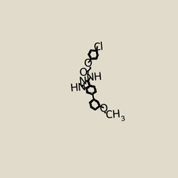 CCOc1cccc(-c2ccc3c(NC(=O)COc4ccc(Cl)cc4)n[nH]c3c2)c1